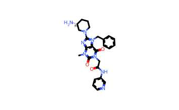 Cn1c(=O)n(CC(=O)Nc2cccnc2)c(=O)c2c1nc(N1CCC[C@@H](N)C1)n2Cc1ccccc1